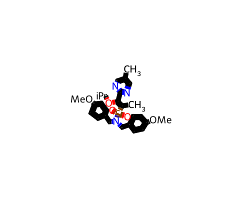 COc1ccc(CN(Cc2ccc(OC)cc2)S(=O)(=O)C(C)=C(OC(C)C)c2ncc(C)cn2)cc1